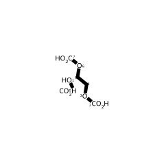 O=C(O)O.O=C(O)OCCOC(=O)O